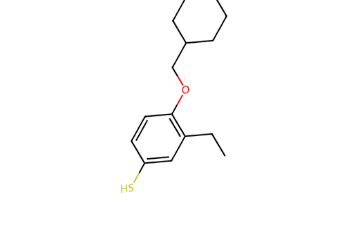 CCc1cc(S)ccc1OCC1CCCCC1